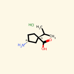 CC(C)[C@]1(C(=O)O)CC[C@@H](N)C1.Cl